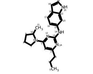 CCCc1cc(N2CCCC2C)nc(Nc2ccc3cc[nH]c3c2)n1